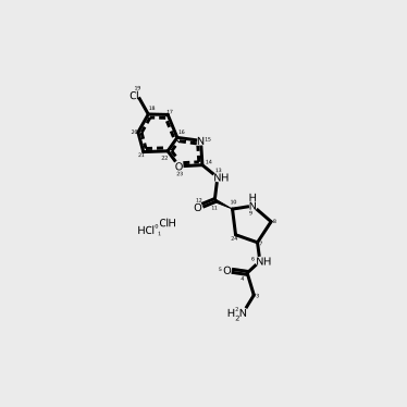 Cl.Cl.NCC(=O)NC1CN[C@H](C(=O)Nc2nc3cc(Cl)ccc3o2)C1